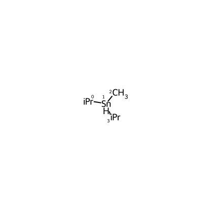 C[CH](C)[SnH]([CH3])[CH](C)C